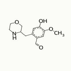 COc1cc(C=O)c(CC2COCCN2)cc1O